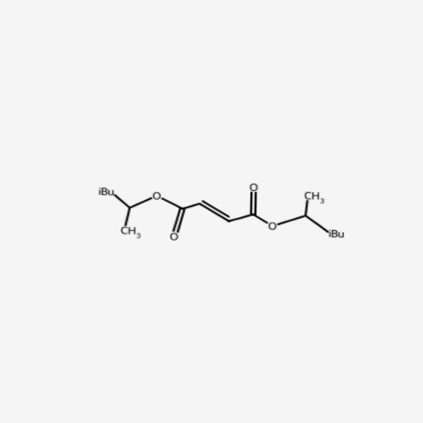 CCC(C)C(C)OC(=O)/C=C/C(=O)OC(C)C(C)CC